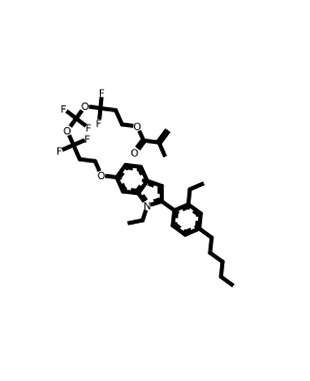 C=C(C)C(=O)OCCC(F)(F)OC(F)(F)OC(F)(F)CCOc1ccc2cc(-c3ccc(CCCCC)cc3CC)n(CC)c2c1